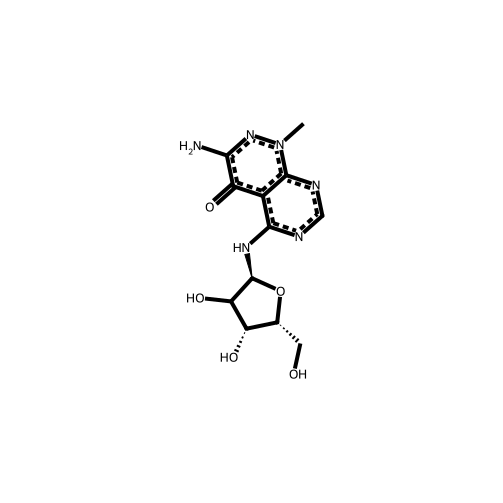 Cn1nc(N)c(=O)c2c(N[C@H]3O[C@H](CO)[C@H](O)C3O)ncnc21